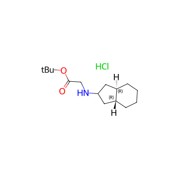 CC(C)(C)OC(=O)CNC1C[C@H]2CCCC[C@@H]2C1.Cl